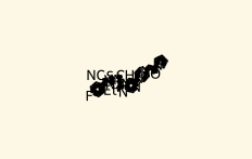 CCc1nc2cnc(N3CCN(CC(=O)N4CCCC4)CC3)cn2c1N(C)c1nc(-c2ccc(F)cc2)c(C#N)s1